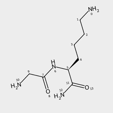 NCCCC[C@H](NC(=O)CN)C(N)=O